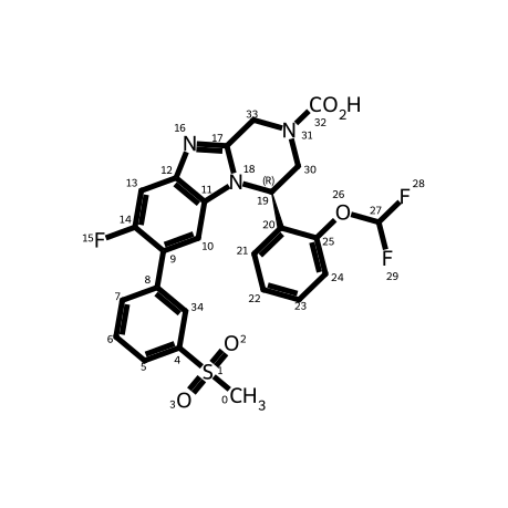 CS(=O)(=O)c1cccc(-c2cc3c(cc2F)nc2n3[C@H](c3ccccc3OC(F)F)CN(C(=O)O)C2)c1